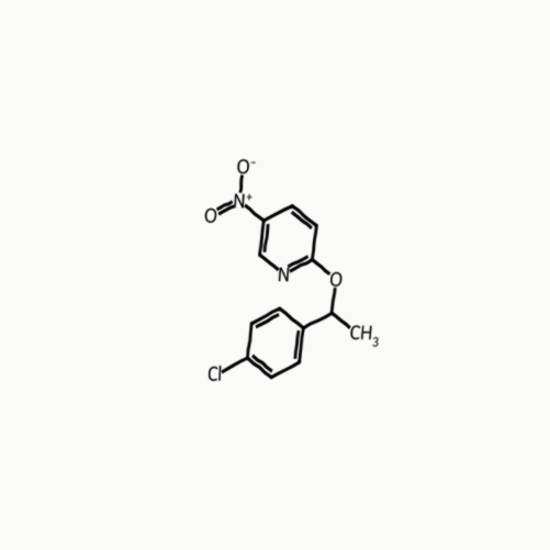 CC(Oc1ccc([N+](=O)[O-])cn1)c1ccc(Cl)cc1